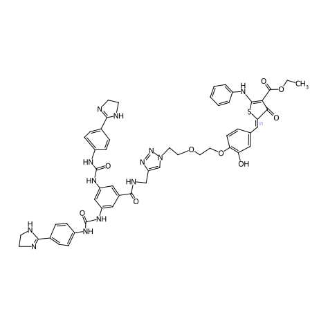 CCOC(=O)C1=C(Nc2ccccc2)S/C(=C\c2ccc(OCCOCCn3cc(CNC(=O)c4cc(NC(=O)Nc5ccc(C6=NCCN6)cc5)cc(NC(=O)Nc5ccc(C6=NCCN6)cc5)c4)nn3)c(O)c2)C1=O